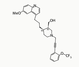 COc1ccc2nccc(CCC[C@@H]3CCN(CC#Cc4ccccc4OC(F)(F)F)C[C@@H]3CO)c2c1